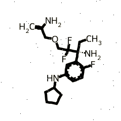 C=C(N)COCC(F)(F)[C@@](N)(CC)c1cc(NC2CCCC2)ccc1F